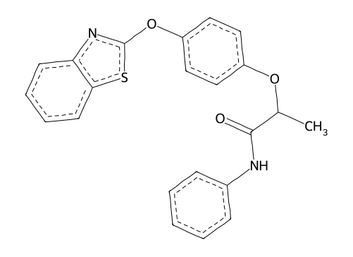 CC(Oc1ccc(Oc2nc3ccccc3s2)cc1)C(=O)Nc1ccccc1